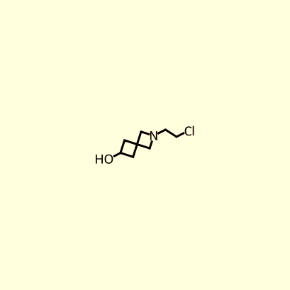 OC1CC2(C1)CN(CCCl)C2